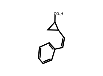 O=C(O)C1CC1/C=C\c1ccccc1